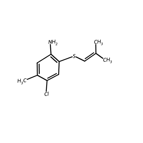 CC(C)=CSc1cc(Cl)c(C)cc1N